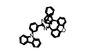 c1ccc(-c2nc(-c3cccc(-n4c5ccccc5c5ccccc54)c3)nc(-c3cccc4oc5cccc(-c6ccccc6)c5c34)n2)cc1